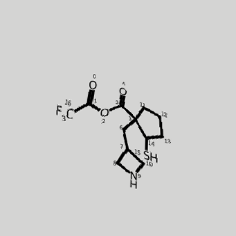 O=C(OC(=O)C1(CC2CNC2)CCCC1S)C(F)(F)F